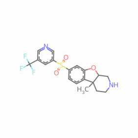 CC12CCNCC1Oc1cc(S(=O)(=O)c3cncc(C(F)(F)F)c3)ccc12